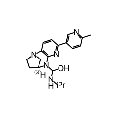 Cc1ccc(-c2ccc3c(n2)N(C(O)NC(C)C)[C@H]2CCN3C2)cn1